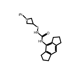 CC(C)N1CC(SNC(=O)Nc2c3c(cc4c2CCC4)CCC3)C1